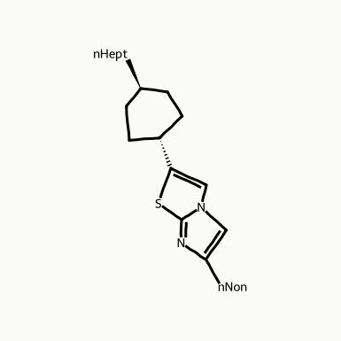 CCCCCCCCCc1cn2cc([C@H]3CC[C@H](CCCCCCC)CC3)sc2n1